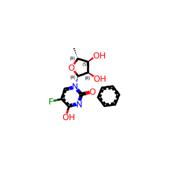 C[C@H]1O[C@@H](n2cc(F)c(O)nc2=O)[C@H](O)[C@@H]1O.c1ccccc1